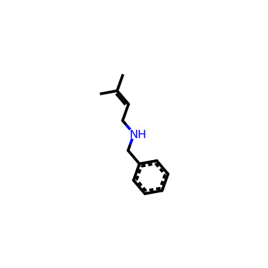 CC(C)=CCNCc1ccccc1